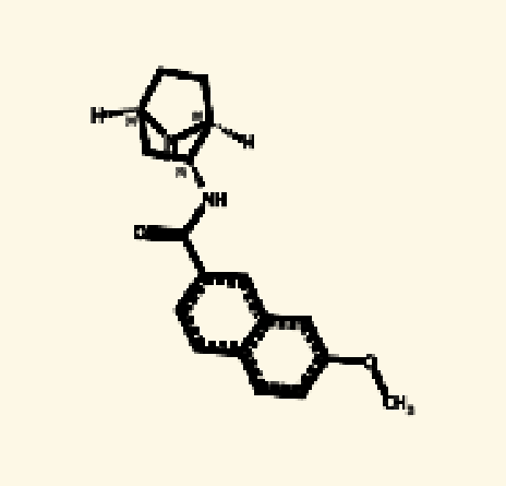 COc1ccc2ccc(C(=O)N[C@@H]3C[C@H]4CC[C@@H]3N4)cc2c1